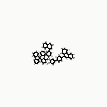 c1ccc(C2(c3ccccc3)c3ccccc3-c3c(N(c4ccc(-c5cccc6ccccc56)cc4)c4cccc(-c5ccc(-c6cc7ccccc7c7ccccc67)cc5)c4)cccc32)cc1